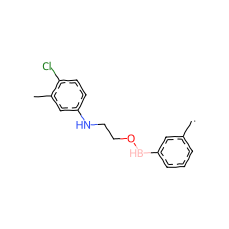 [CH2]c1cccc(BOCCNc2ccc(Cl)c(C)c2)c1